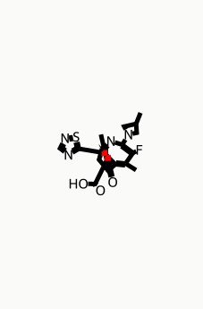 CC1=C2\CC\C(=N/C(N3CC(C)C3)=C\1F)N(c1ncns1)/C=C(/C(=O)O)C2=O